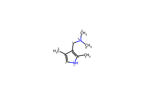 Cc1c[nH]c(C)c1CN(C)C